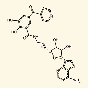 Nc1ncnc2c1ncn2[C@@H]1O[C@H](/C=C/CNC(=O)c2cc(C(=O)c3ccncc3)cc(O)c2O)C(O)C1O